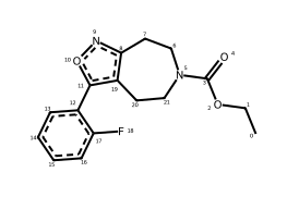 CCOC(=O)N1CCc2noc(-c3ccccc3F)c2CC1